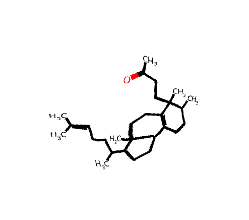 CC(=O)CCC1(C)C2=C(CCC1C)C1CCC(C(C)CCC=C(C)C)C1(C)CC2